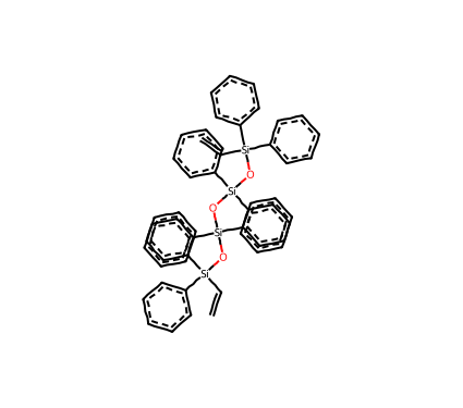 C=C[Si](O[Si](O[Si](O[Si](C=C)(c1ccccc1)c1ccccc1)(c1ccccc1)c1ccccc1)(c1ccccc1)c1ccccc1)(c1ccccc1)c1ccccc1